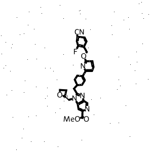 COC(=O)c1cc2c(cn1)nc(CC1CC=C(c3cccc(OCc4ccc(C#N)cc4F)n3)CC1)n2C[C@@H]1CCO1